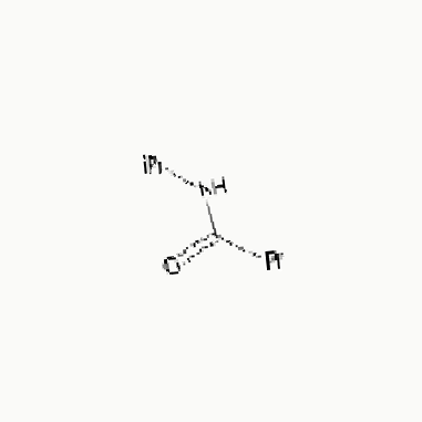 CC(C)NC(=O)C(C)C